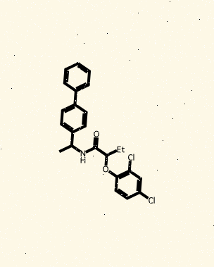 CCC(Oc1ccc(Cl)cc1Cl)C(=O)NC(C)c1ccc(-c2ccccc2)cc1